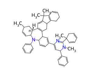 CC1C=CC2[C@H](C1)C1=C(CC3C(=C1)C(C)(C)C1=C3CCC=C1)C1C=C(C3=CC(c4ccccc4)N(C)C(C4(C)C=CC=CC4)=N3)C=CC1N2c1ccccc1